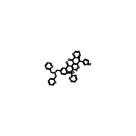 O=[C]c1ccc(CN(Cc2ccccn2)Cc2ccccn2)cc1C(=O)c1c(C(=O)c2ncccn2)nnc(C(=O)c2cc[nH]c2)c1C(=O)c1ccncn1